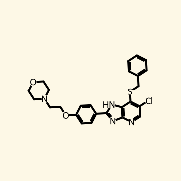 Clc1cnc2nc(-c3ccc(OCCN4CCOCC4)cc3)[nH]c2c1SCc1ccccc1